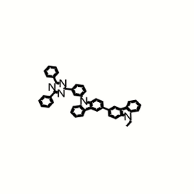 CCn1c2ccccc2c2cc(-c3ccc4c(c3)c3ccccc3n4-c3cccc(-c4nc(-c5ccccc5)nc(-c5ccccc5)n4)c3)ccc21